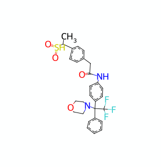 CC(c1ccc(CC(=O)Nc2ccc(C(c3ccccc3)(N3CCOCC3)C(F)(F)F)cc2)cc1)[SH](=O)=O